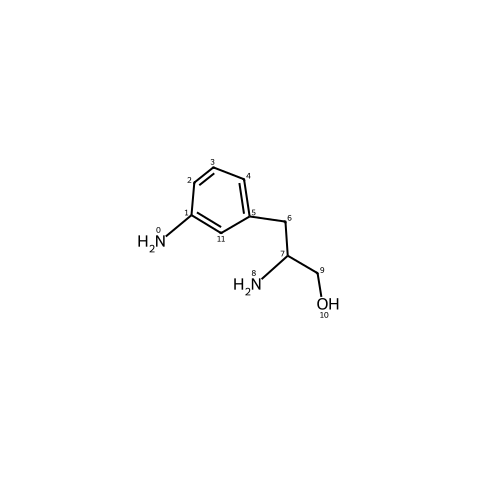 Nc1cccc(CC(N)CO)c1